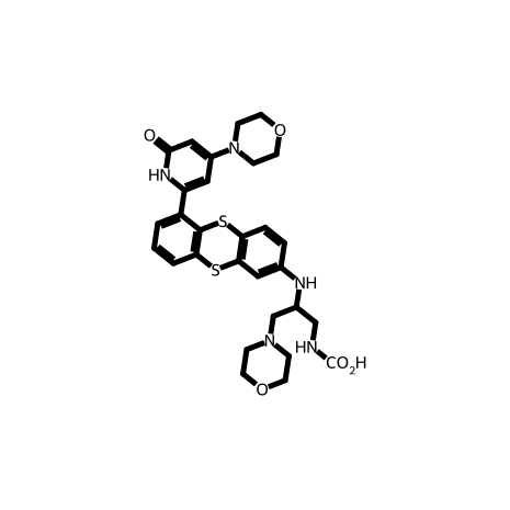 O=C(O)NCC(CN1CCOCC1)Nc1ccc2c(c1)Sc1cccc(-c3cc(N4CCOCC4)cc(=O)[nH]3)c1S2